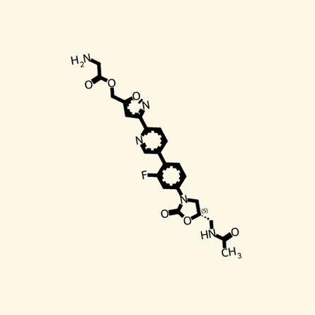 CC(=O)NC[C@H]1CN(c2ccc(-c3ccc(-c4cc(COC(=O)CN)on4)nc3)c(F)c2)C(=O)O1